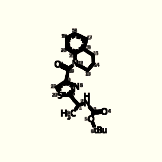 CC(NC(=O)OC(C)(C)C)c1nc(C(=O)N2CCCc3ccccc32)cs1